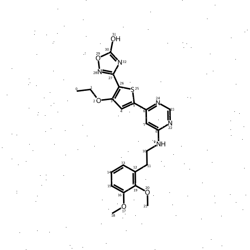 CCOc1cc(-c2cc(NCCc3cccc(OC)c3OC)ncn2)sc1-c1noc(O)n1